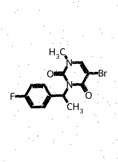 CC(c1ccc(F)cc1)n1c(=O)c(Br)cn(C)c1=O